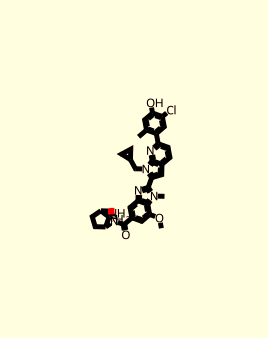 COc1cc(C(=O)N2CC3CCC2[C@@H]3N)cc2nc(-c3cc4ccc(-c5cc(Cl)c(O)cc5C)nc4n3CC3CC3)n(C)c12